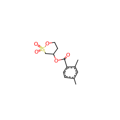 Cc1ccc(C(=O)OC2CCOS(=O)(=O)C2)c(C)c1